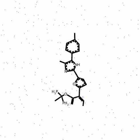 C=C(OC(C)(P)P)/C(=C\C)c1ccc(-c2nc(C)c(-c3ccc(C)cc3)[nH]2)o1